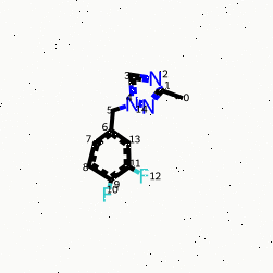 [CH2]c1ncn(Cc2ccc(F)c(F)c2)n1